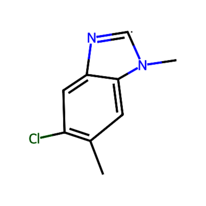 Cc1cc2c(cc1Cl)n[c]n2C